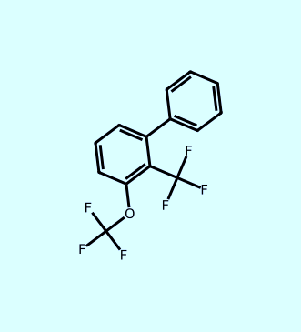 FC(F)(F)Oc1cccc(-c2ccccc2)c1C(F)(F)F